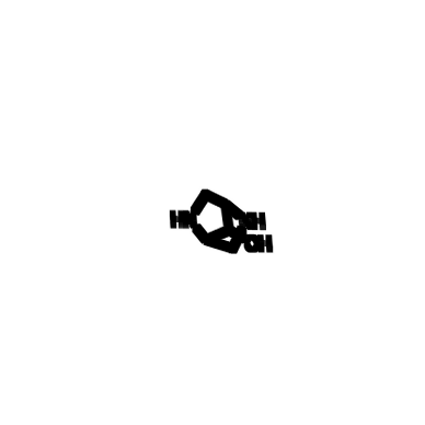 OC1C2CNC1CN2